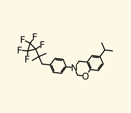 CC(C)c1ccc2c(c1)CN(c1ccc(CC(C)(C)C3(F)C(F)(F)C3(F)F)cc1)CO2